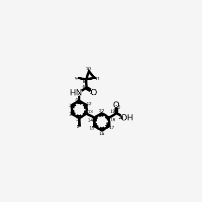 Cc1ccc(NC(=O)C2(C)CC2)cc1-c1cccc(C(=O)O)c1